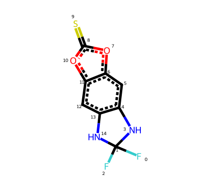 FC1(F)Nc2cc3oc(=S)oc3cc2N1